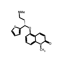 CNCC[C@H](Oc1cccc2c1ccc(=O)n2C)c1cccs1